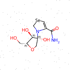 NC(=O)C1=C[Se]CN1[C@@]1(O)CO[C@H](CO)[C@H]1O